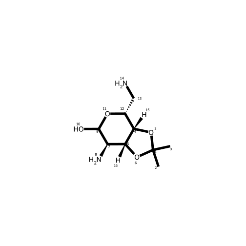 CC1(C)O[C@@H]2[C@H](O1)[C@@H](N)C(O)O[C@@H]2CN